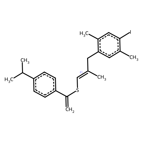 C=C(S/C=C(\C)Cc1cc(C)c(I)cc1C)c1ccc(C(C)C)cc1